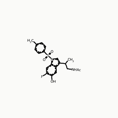 CC(=O)NCC(C)c1cn(S(=O)(=O)c2ccc(C)cc2)c2cc(F)c(O)cc12